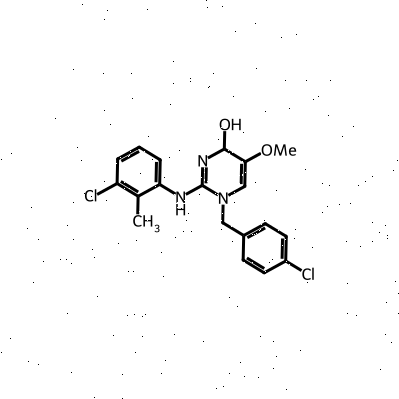 COC1=CN(Cc2ccc(Cl)cc2)C(Nc2cccc(Cl)c2C)=NC1O